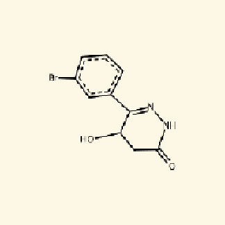 O=C1CC(O)C(c2cccc(Br)c2)=NN1